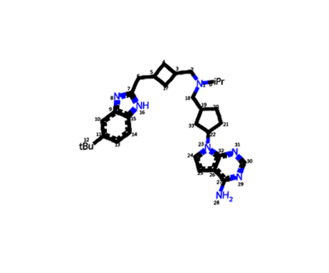 CC(C)N(CC1CC(Cc2nc3cc(C(C)(C)C)ccc3[nH]2)C1)CC1CCC(n2ccc3c(N)ncnc32)C1